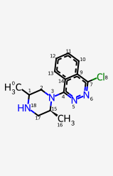 CC1CN(c2nnc(Cl)c3ccccc23)[C@@H](C)CN1